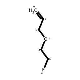 C=CCOCCF